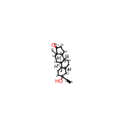 C#C[C@]1(O)CC[C@@]2(C)[C@@H](CC[C@@H]3[C@@H]2CC[C@]2(C)C(=O)CC[C@@H]32)C1